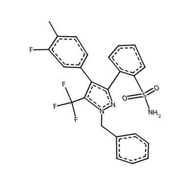 Cc1ccc(-c2c(-c3ccccc3S(N)(=O)=O)nn(Cc3ccccc3)c2C(F)(F)F)cc1F